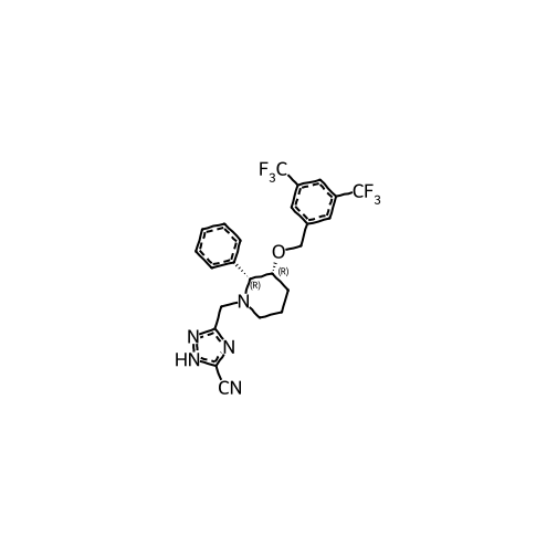 N#Cc1nc(CN2CCC[C@@H](OCc3cc(C(F)(F)F)cc(C(F)(F)F)c3)[C@H]2c2ccccc2)n[nH]1